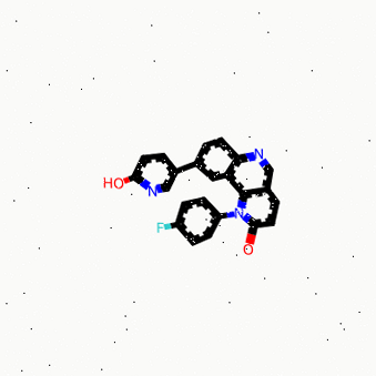 O=c1ccc2cnc3ccc(-c4ccc(O)nc4)cc3c2n1-c1ccc(F)cc1